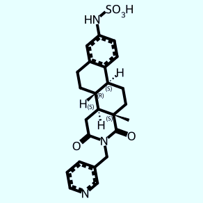 C[C@]12CC[C@@H]3c4ccc(NS(=O)(=O)O)cc4CC[C@H]3[C@@H]1CC(=O)N(Cc1cccnc1)C2=O